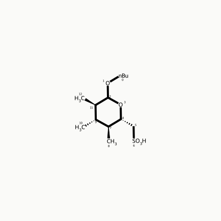 CCCCOC1O[C@H](CS(=O)(=O)O)[C@@H](C)[C@H](C)[C@H]1C